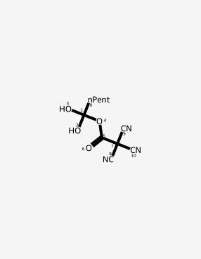 CCCCCC(O)(O)OC(=O)C(C#N)(C#N)C#N